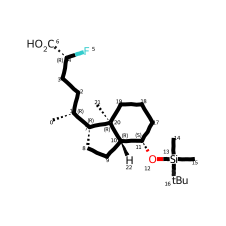 C[C@H](CC[C@@H](F)C(=O)O)[C@H]1CC[C@H]2[C@@H](O[Si](C)(C)C(C)(C)C)CCC[C@]12C